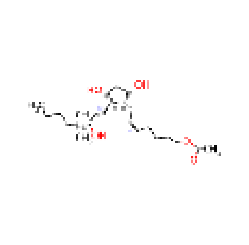 CCCCC(C)(C)[C@H](O)/C=C/[C@@H]1[C@@H](C/C=C\CCCCOC(C)=O)[C@@H](O)C[C@H]1O